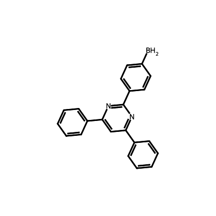 Bc1ccc(-c2nc(-c3ccccc3)cc(-c3ccccc3)n2)cc1